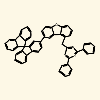 c1ccc(-c2nc(Cc3cccc4oc5ccc(-c6ccc7c(c6)C6(c8ccccc8-c8ccccc86)c6ccccc6-7)cc5c34)nc(-c3ccccc3)n2)cc1